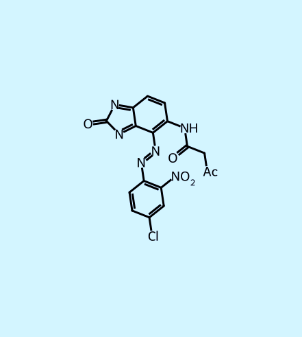 CC(=O)CC(=O)Nc1ccc2c(c1N=Nc1ccc(Cl)cc1[N+](=O)[O-])=NC(=O)N=2